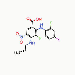 C=CCNc1c([N+](=O)[O-])cc(C(=O)O)c(Nc2ccc(I)cc2F)c1F